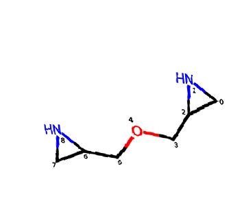 C1NC1COCC1CN1